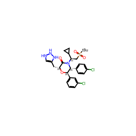 CC(C)(C)S(=O)(=O)C[C@H](C1CC1)N1C(=O)[C@@H](CC2=CNNN2)O[C@H](c2cccc(Cl)c2)[C@H]1c1ccc(Cl)cc1